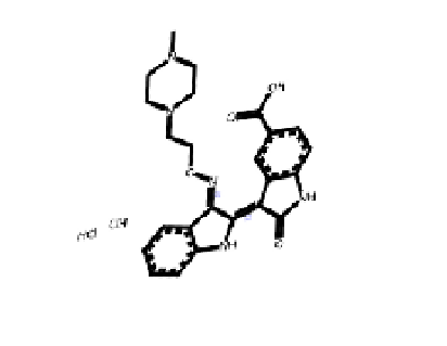 CN1CCN(CCO/N=C2/C(=C3/C(=O)Nc4ccc(C(=O)O)cc43)Nc3ccccc32)CC1.Cl.Cl